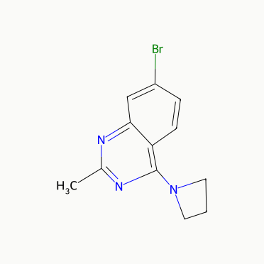 Cc1nc(N2CCC2)c2ccc(Br)cc2n1